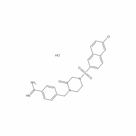 Cl.N=C(N)c1ccc(CN2CCN(S(=O)(=O)c3ccc4cc(Cl)ccc4c3)CC2=O)cc1